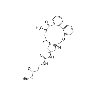 CN1CC(=O)N2C[C@H](NC(=O)NCCC(=O)OC(C)(C)C)C[C@H]2COc2ccccc2-c2ccccc2C1=O